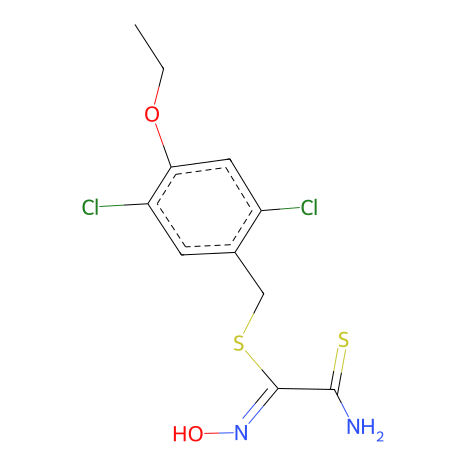 CCOc1cc(Cl)c(CS/C(=N\O)C(N)=S)cc1Cl